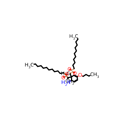 C=C(C1(C(=C)S(=O)(=O)CCCCCCCCCCCC)C=C(OCCCC)C=CC1N)S(=O)(=O)CCCCCCCCCCCC